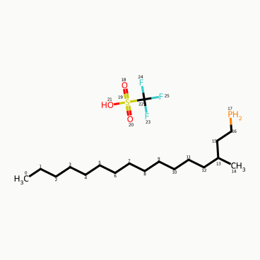 CCCCCCCCCCCCCC(C)CCP.O=S(=O)(O)C(F)(F)F